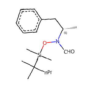 CCCC(C)(C)[Si](C)(C)ON(C=O)[C@@H](C)Cc1ccccc1